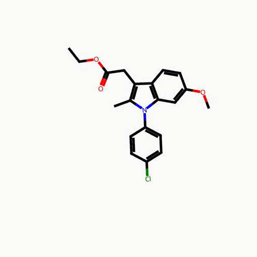 CCOC(=O)Cc1c(C)n(-c2ccc(Cl)cc2)c2cc(OC)ccc12